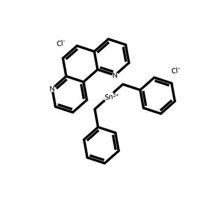 [Cl-].[Cl-].c1ccc([CH2][Sn+2][CH2]c2ccccc2)cc1.c1cnc2c(c1)ccc1ncccc12